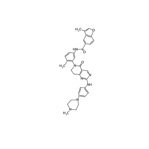 Cc1ccc(NC(=O)c2ccc3occ(C)c3c2)cc1N1CCc2nc(Nc3ccc(N4CCN(C)CC4)cc3)ncc2C1=O